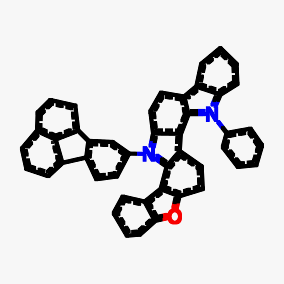 c1ccc(-n2c3ccccc3c3ccc4c(c5ccc6oc7ccccc7c6c5n4-c4ccc5c(c4)-c4cccc6cccc-5c46)c32)cc1